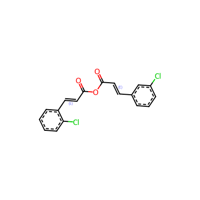 O=C(/C=C/c1cccc(Cl)c1)OC(=O)/C=C/c1ccccc1Cl